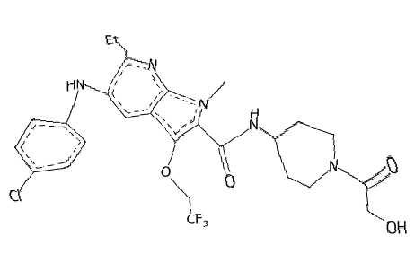 CCc1nc2c(cc1Nc1ccc(Cl)cc1)c(OCC(F)(F)F)c(C(=O)NC1CCN(C(=O)CO)CC1)n2C